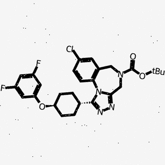 CC(C)(C)OC(=O)N1Cc2cc(Cl)ccc2-n2c(nnc2[C@H]2CC[C@H](Oc3cc(F)cc(F)c3)CC2)C1